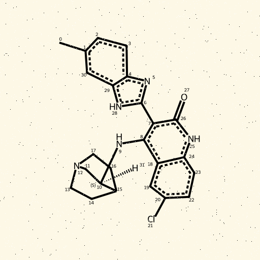 Cc1ccc2nc(-c3c(N[C@@H]4CN5CCC4CC5)c4cc(Cl)ccc4[nH]c3=O)[nH]c2c1